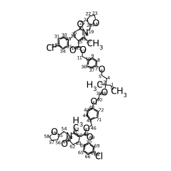 CCC(C)(CCOc1ccc(COC(=O)C2=C(C)N(C[C@H]3CCCO3)C(=O)C[C@H]2c2ccc(Cl)cc2)cc1)OCCOc1ccc(COC(=O)C2=C(C)N(C[C@H]3CCCO3)C(=O)C[C@H]2c2ccc(Cl)cc2)cc1